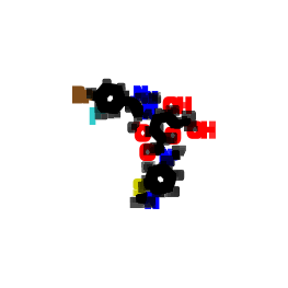 CO[C@@H]1[C@@H](n2cc(-c3ccc(Br)c(F)c3)nn2)[C@@H](O)[C@@H](CO)O[C@H]1C(=O)N(C)c1ccc2ncsc2c1